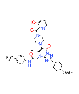 CCc1c(N2CCN(C(=O)c3ncccc3O)CC2)c(=O)n2nc(C3=CC[C@@H](OC)CC3)nc2n1CC(=O)Nc1ccc(C(F)(F)F)cc1